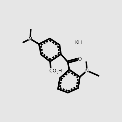 CN(C)c1ccc(C(=O)c2ccccc2N(C)C)c(C(=O)O)c1.[KH]